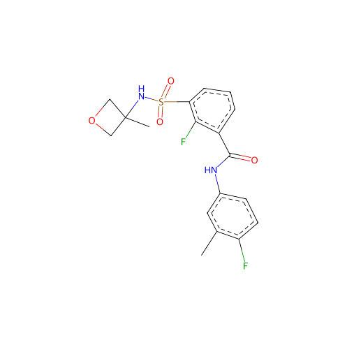 Cc1cc(NC(=O)c2cccc(S(=O)(=O)NC3(C)COC3)c2F)ccc1F